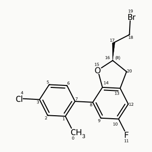 Cc1cc(Cl)ccc1-c1cc(F)cc2c1O[C@@H](CCBr)C2